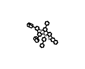 c1ccc(-c2ccc(N3B4c5c(cc(-c6ccccc6)cc5-n5c6ccc(C78CC9CC(CC(C9)C7)C8)cc6c6cc(C78CC9CC(CC(C9)C7)C8)cc4c65)-c4ccc5c(sc6cc7ccccc7cc65)c43)cc2)cc1